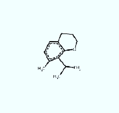 Cc1ccc2c(c1C(C)C)OCCC2